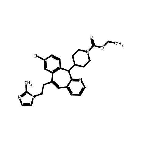 CCOC(=O)N1CCC(C2c3ccc(Cl)cc3C(CCn3ccnc3C)=Cc3cccnc32)CC1